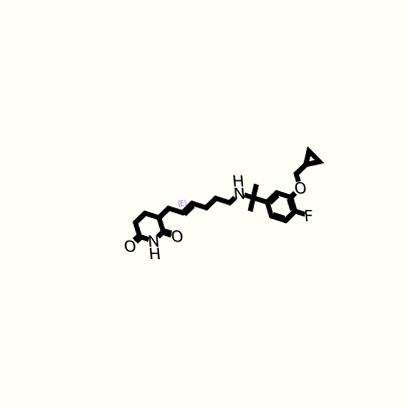 CC(C)(NCCC/C=C/CC1CCC(=O)NC1=O)c1ccc(F)c(OCC2CC2)c1